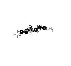 Cc1ccc(-c2nc(-c3ccc(C[C@H](NC(=O)c4ccc(-c5ccc(F)c(C)c5)o4)OC=O)cc3F)no2)cc1